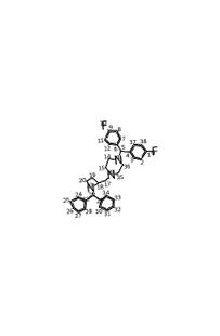 Fc1ccc(C(c2ccc(F)cc2)N2CCN(CC3CCN3C(c3ccccc3)c3ccccc3)CC2)cc1